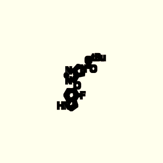 CC(C)(C)OC(=O)N1Cc2ncnc(Oc3ccc4[nH]ccc4c3F)c2C1